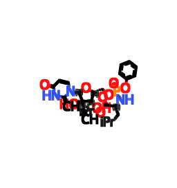 C#C[C@@]1(O)[C@H](O)[C@@H](COP(=O)(N[C@@H](CC(C)C)C(=O)OC(C)C)Oc2ccccc2)O[C@H]1N1C=CC(=O)NC1=C